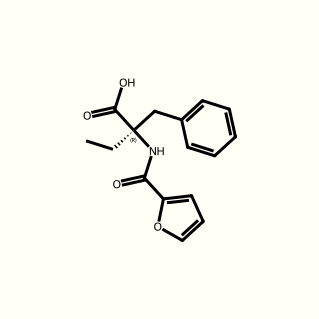 CC[C@](Cc1ccccc1)(NC(=O)c1ccco1)C(=O)O